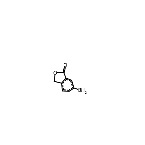 Bc1ccc2c(c1)C(=O)OC2